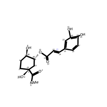 CNC(=O)[C@]1(O)CC[C@@H](O)[C@H](OC(=O)/C=C/c2ccc(O)c(O)c2)C1